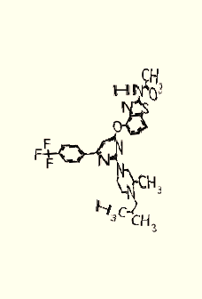 CC(=O)Nc1nc2c(Oc3cc(-c4ccc(C(F)(F)F)cc4)nc(N4CCN(CC(C)C)C(C)C4)n3)cccc2s1